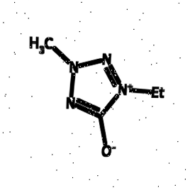 CC[n+]1nn(C)nc1[O-]